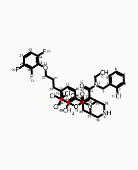 CCN(Cc1ccccc1Cl)C(=O)C1=C(c2ccc(CCCOc3c(F)ccc(F)c3F)cc2)CC2CNCC1N2C(=O)OC(C)(C)C(Cl)(Cl)Cl